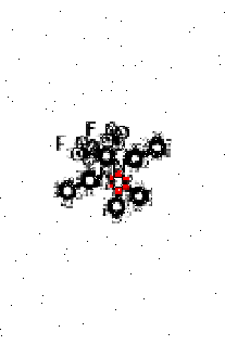 O=S(=O)(Oc1cc(N(c2ccc(-c3ccccc3)cc2)c2ccc(-c3ccccc3)cc2)c(N(c2ccc(-c3ccccc3)cc2)c2ccc(-c3ccccc3)cc2)cc1OS(=O)(=O)C(F)(F)F)C(F)(F)F